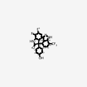 O=C1Nc2c(ccc(F)c2F)C1(c1ccc(O)cc1)c1ccc(C(F)(F)F)c2[nH]ncc12